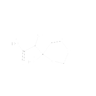 CC(C(=O)O)C1(C)CCOCC1